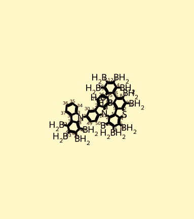 Bc1c(B)c(B)c(-c2c(B)c(B)c3sc4c(B)c(B)c(B)c(-n5c6ccccc6c6cc(-n7c8ccccc8c8c(B)c(B)c(B)c(B)c87)ccc65)c4c3c2B)c(B)c1B